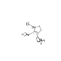 NC1C(O)CCN1Cl